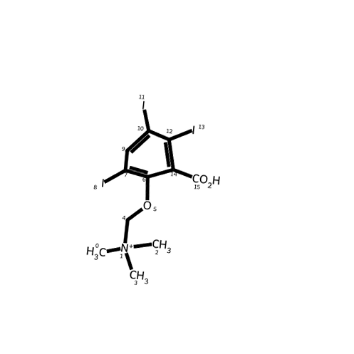 C[N+](C)(C)COc1c(I)cc(I)c(I)c1C(=O)O